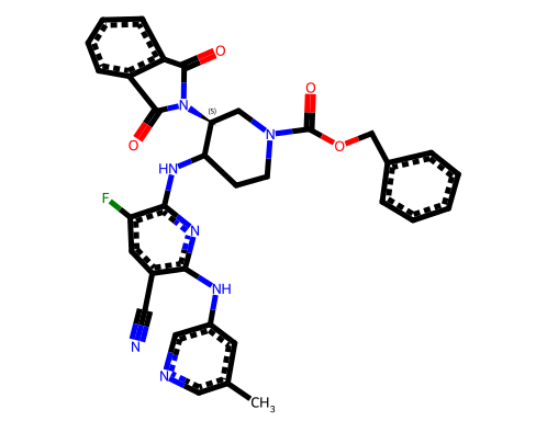 Cc1cncc(Nc2nc(NC3CCN(C(=O)OCc4ccccc4)C[C@@H]3N3C(=O)c4ccccc4C3=O)c(F)cc2C#N)c1